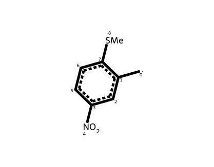 [CH2]c1cc([N+](=O)[O-])ccc1SC